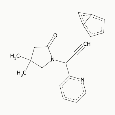 C#CC(c1ccccn1)N1CC(C)(C)CC1=O.c1cc2cc-2c1